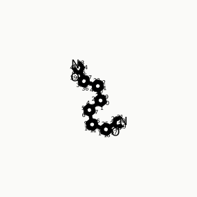 c1cc(-c2cccc(-c3cccc(-c4ccc5oc6cnccc6c5c4)c3)c2)cc(-c2cccc(-c3ccc4oc5cnccc5c4c3)c2)c1